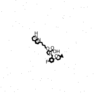 O=C(O)C1[C@H](OCCCCc2ccc3c(n2)NCCC3)CCN1Cc1cc(F)ccc1[C@@H]1CCC2(CC2)CO1